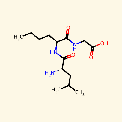 CCCC[C@H](NC(=O)[C@@H](N)CC(C)C)C(=O)NCC(=O)O